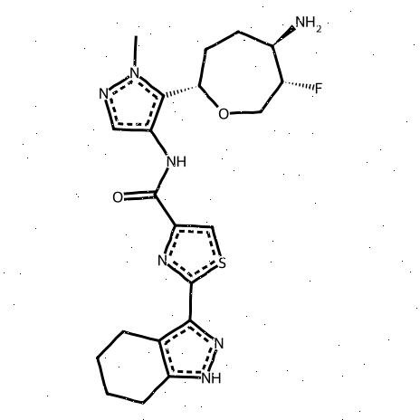 Cn1ncc(NC(=O)c2csc(-c3n[nH]c4c3CCCC4)n2)c1[C@@H]1CC[C@@H](N)[C@H](F)CO1